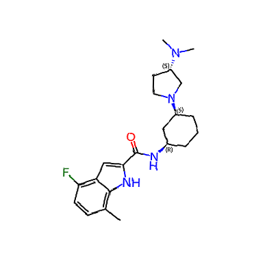 Cc1ccc(F)c2cc(C(=O)N[C@@H]3CCC[C@H](N4CC[C@H](N(C)C)C4)C3)[nH]c12